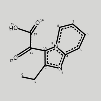 CCc1nc2ccccn2c1C(=O)C(=O)O